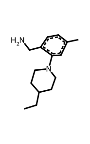 CCC1CCN(c2cc(C)ccc2CN)CC1